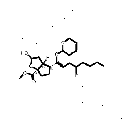 CCCCC(F)CC=C(OC1CCCCO1)[C@@H]1CC[C@@]2(C(=O)OC)OC(O)C[C@H]12